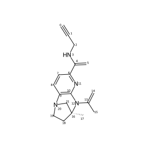 C#CCNC(=C)c1ccc2c(n1)N(C(=C)C)[C@@]1(C)CCN2C1